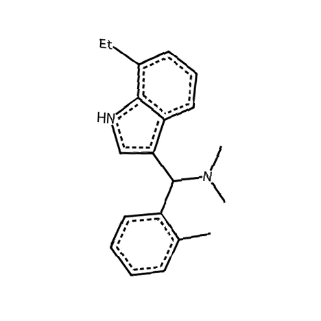 CCc1cccc2c(C(c3ccccc3C)N(C)C)c[nH]c12